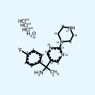 CC(N)(c1ccc(F)cc1)c1cnc(N2CCNCC2)nc1.Cl.Cl.Cl.O